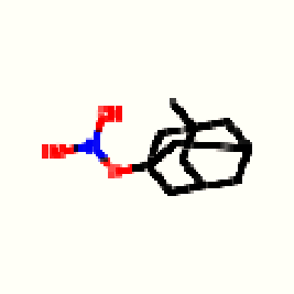 CC12CC3CC(C1)CC(ON(O)O)(C3)C2